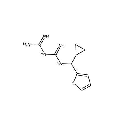 N=C(N)NC(=N)NC(c1cccs1)C1CC1